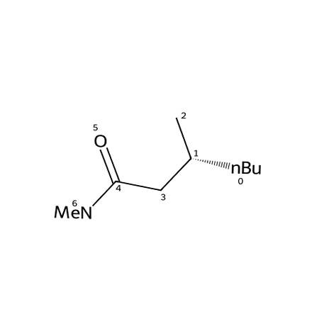 CCCC[C@@H](C)CC(=O)NC